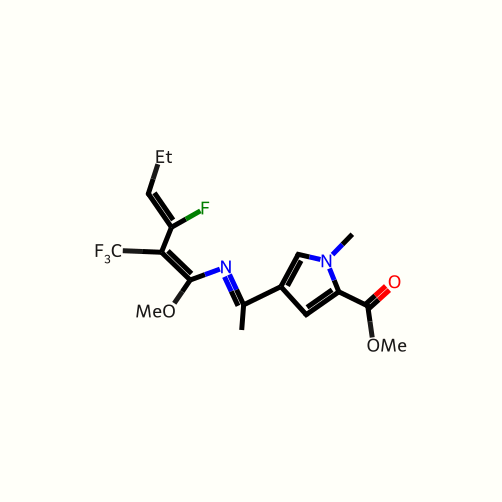 CC/C=C(F)/C(=C(\N=C(/C)c1cc(C(=O)OC)n(C)c1)OC)C(F)(F)F